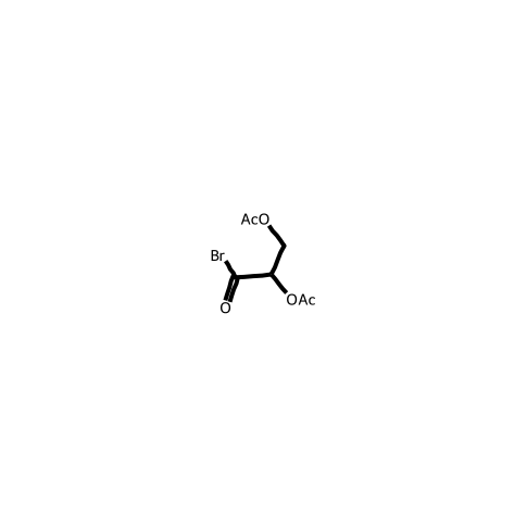 CC(=O)OCC(OC(C)=O)C(=O)Br